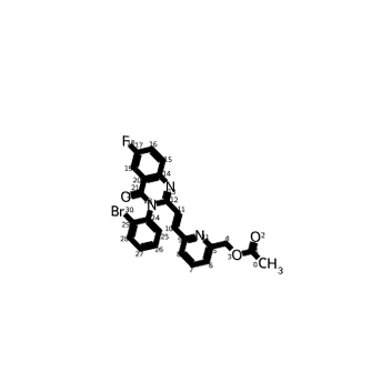 CC(=O)OCc1cccc(/C=C/c2nc3ccc(F)cc3c(=O)n2-c2ccccc2Br)n1